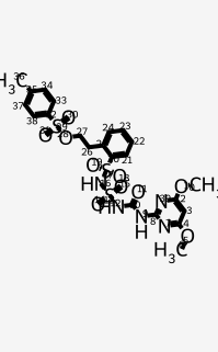 COc1cc(OC)nc(NC(=O)NS(=O)(=O)NS(=O)(=O)c2ccccc2CCOS(=O)(=O)c2ccc(C)cc2)n1